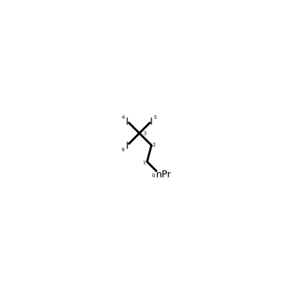 CCCCCC(I)(I)I